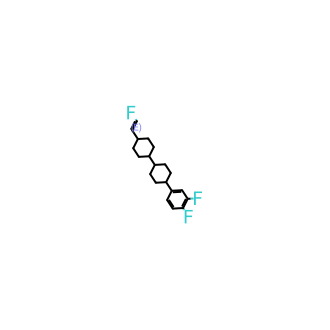 F/C=C/C1CCC(C2CCC(c3ccc(F)c(F)c3)CC2)CC1